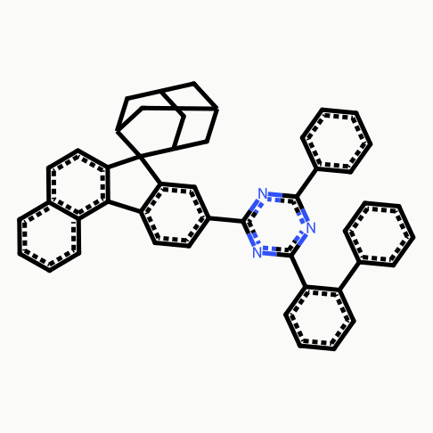 c1ccc(-c2nc(-c3ccc4c(c3)C3(c5ccc6ccccc6c5-4)C4CC5CC(C4)CC3C5)nc(-c3ccccc3-c3ccccc3)n2)cc1